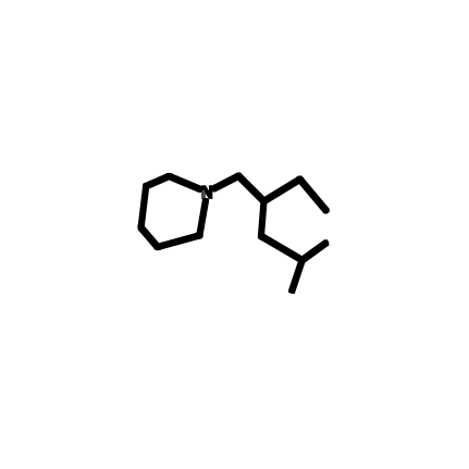 CCC(CC(C)C)CN1CCCCC1